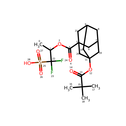 CC(OC(=O)C12CC3CC(CC(OC(=O)C(C)(C)C)(C3)C1)C2)C(F)(F)S(=O)(=O)O